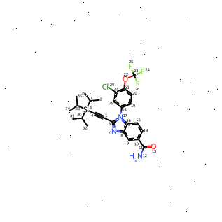 CC(C)[Si](C#Cc1nc2cc(C(N)=O)ccc2n1-c1ccc(OC(F)(F)F)c(Cl)c1)(C(C)C)C(C)C